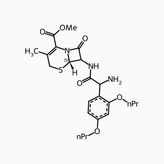 CCCOc1ccc(C(N)C(=O)NC2C(=O)N3C(C(=O)OC)=C(C)CS[C@@H]23)c(OCCC)c1